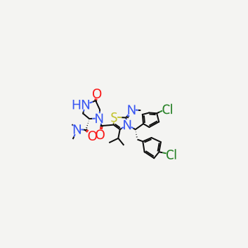 C/N=c1/sc(C(=O)N2CC(=O)NC[C@H]2C(=O)N(C)C)c(C(C)C)n1[C@@H](Cc1ccc(Cl)cc1)c1ccc(Cl)cc1